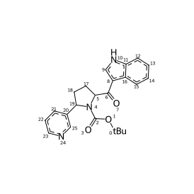 CC(C)(C)OC(=O)N1C(C(=O)c2c[nH]c3ccccc23)CCC1c1cccnc1